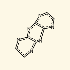 c1cnc2nc3nccnc3nc2n1